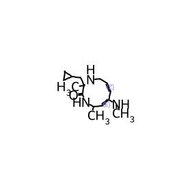 CNC1=C/C(C)NC(=O)C(C)(CC2CC2)NC/C=C\1